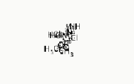 CC(C)OC(=O)c1cnc(N2CCNCC2)c(Cl)c1.Cl.Cl